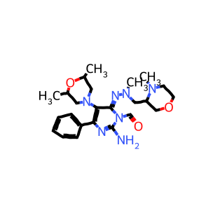 CC1CN(c2c(-c3ccccc3)nc(N)n(C=O)/c2=N\N(C)CC2COCCN2C)CC(C)O1